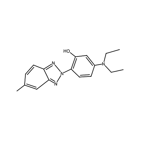 CCN(CC)c1ccc(-n2nc3ccc(C)cc3n2)c(O)c1